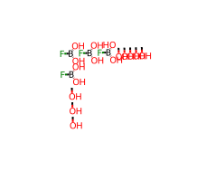 CO.CO.CO.CO.CO.CO.CO.CO.OB(O)F.OB(O)F.OB(O)F.OB(O)F